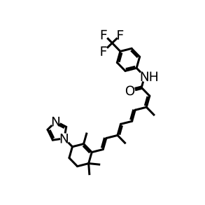 CC1=C(/C=C/C(C)=C/C=C/C(C)=C\C(=O)Nc2ccc(C(F)(F)F)cc2)C(C)(C)CCC1n1ccnc1